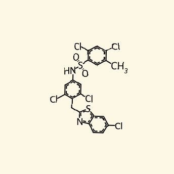 Cc1cc(S(=O)(=O)Nc2cc(Cl)c(Cc3nc4ccc(Cl)cc4s3)c(Cl)c2)c(Cl)cc1Cl